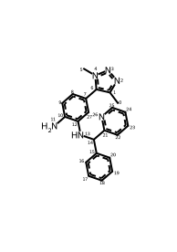 Cc1nnn(C)c1-c1ccc(N)c(NC(c2ccccc2)c2ccccn2)c1